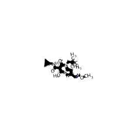 CO/N=C/c1cc2n(CC(C)(C)C)c(=O)c(C(=O)NC3CC3)c(O)n2n1